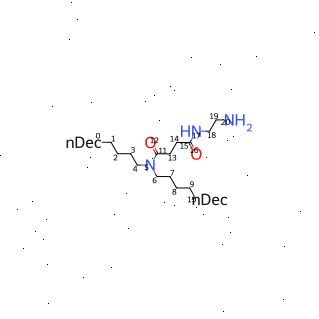 CCCCCCCCCCCCCCN(CCCCCCCCCCCCCC)C(=O)CCC(=O)NCCN